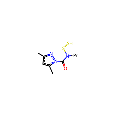 Cc1cc(C)n(C(=O)N(SS)C(C)C)n1